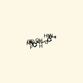 CS(=O)(=O)Nc1cc([C@@H](O)CNCCOc2ccc3c(C4CC4)n[nH]c3c2)ccc1F